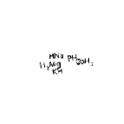 P.[CaH2].[KH].[MgH2].[NaH]